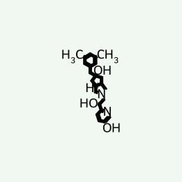 Cc1cc(C)cc(CC2(O)CC3CN(CC(O)c4ccc(O)cn4)C[C@@H]3C2)c1